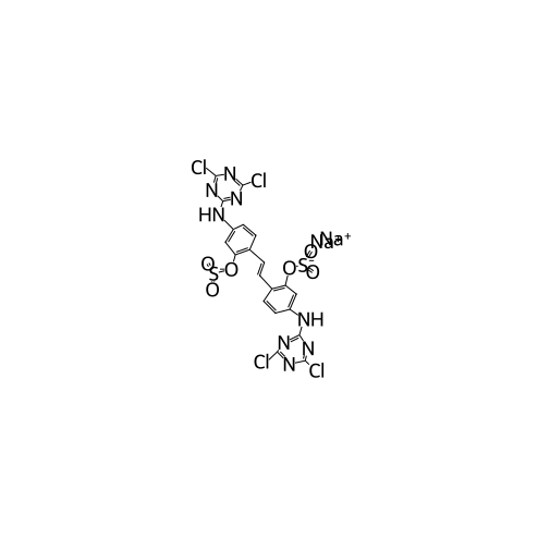 O=[S-](=O)Oc1cc(Nc2nc(Cl)nc(Cl)n2)ccc1C=Cc1ccc(Nc2nc(Cl)nc(Cl)n2)cc1O[S-](=O)=O.[Na+].[Na+]